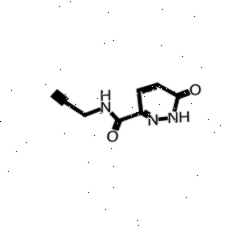 C#CCNC(=O)c1ccc(=O)[nH]n1